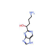 NCCCC(O)c1ncc2[nH]cnc2n1